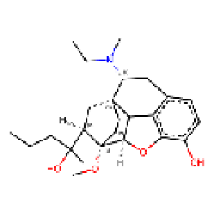 CCCC(C)(O)[C@H]1C[C@@]23CC[C@@]1(OC)[C@@H]1Oc4c(O)ccc(c4C12)C[C@H]3N(C)CC